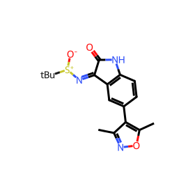 Cc1noc(C)c1-c1ccc2c(c1)/C(=N/[S+]([O-])C(C)(C)C)C(=O)N2